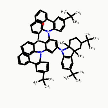 CC(C)(C)c1ccc(N2c3ccccc3B3c4ccccc4N(c4ccc(C(C)(C)C)cc4-c4ccccc4)c4cc(N5c6ccc(C(C)(C)C)cc6C6(C)CC(C(C)(C)C)CCC56C)cc2c43)c(-c2ccccc2)c1